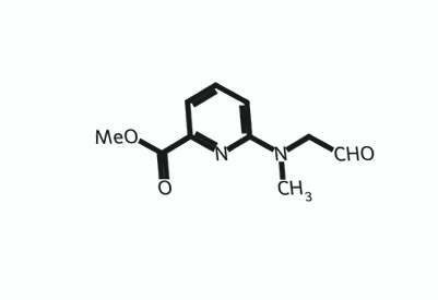 COC(=O)c1cccc(N(C)CC=O)n1